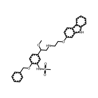 COC(CNCCOc1ccc2c(c1)[nH]c1ccccc12)c1ccc(OCc2ccccc2)c(NS(C)(=O)=O)c1